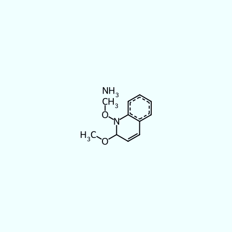 COC1C=Cc2ccccc2N1OC.N